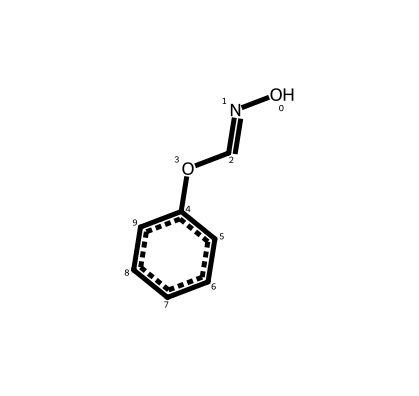 ON=COc1ccccc1